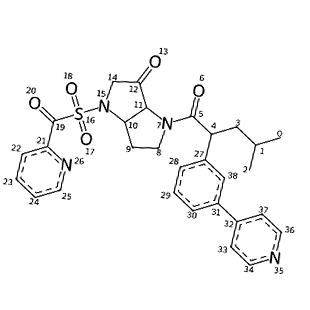 CC(C)CC(C(=O)N1CCC2C1C(=O)CN2S(=O)(=O)C(=O)c1ccccn1)c1cccc(-c2ccncc2)c1